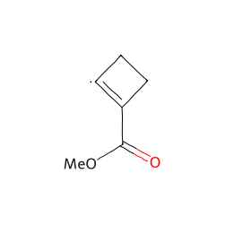 COC(=O)C1=[C]CC1